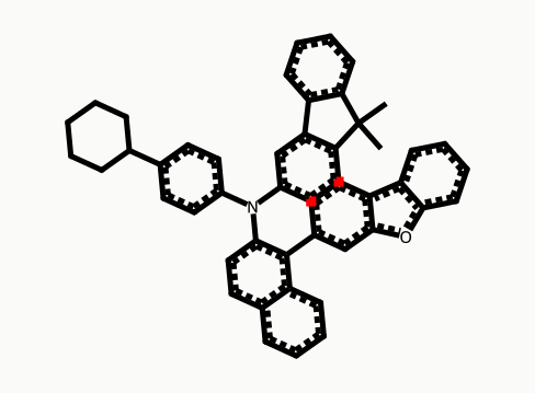 CC1(C)c2ccccc2-c2cc(N(c3ccc(C4CCCCC4)cc3)c3ccc4ccccc4c3-c3ccc4c(c3)oc3ccccc34)ccc21